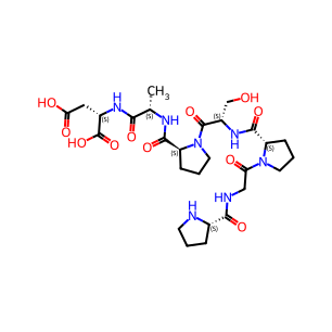 C[C@H](NC(=O)[C@@H]1CCCN1C(=O)[C@H](CO)NC(=O)[C@@H]1CCCN1C(=O)CNC(=O)[C@@H]1CCCN1)C(=O)N[C@@H](CC(=O)O)C(=O)O